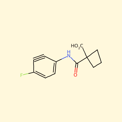 O=C(O)C1(C(=O)Nc2c#cc(F)cc2)CCC1